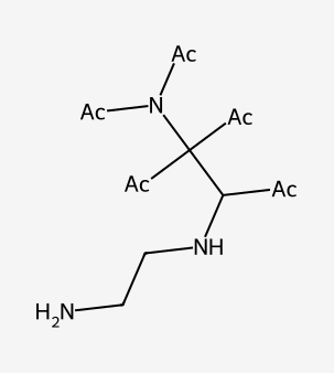 CC(=O)C(NCCN)C(C(C)=O)(C(C)=O)N(C(C)=O)C(C)=O